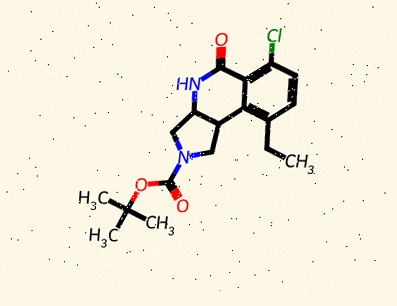 CCc1ccc(Cl)c2c1C1CN(C(=O)OC(C)(C)C)CC1NC2=O